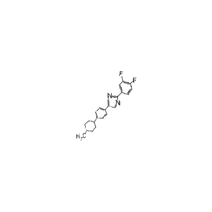 CC1CCC(c2ccc(-c3cnc(-c4ccc(F)c(F)c4)nc3)cc2)CC1